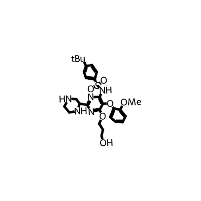 COc1ccccc1Oc1c(NS(=O)(=O)c2ccc(C(C)(C)C)cc2)nc(C2CNCCN2)nc1OCCCO